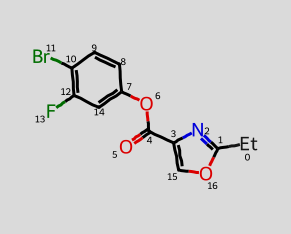 CCc1nc(C(=O)Oc2ccc(Br)c(F)c2)co1